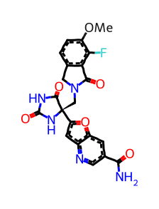 COc1ccc2c(c1F)C(=O)N(C[C@@]1(c3cc4ncc(C(N)=O)cc4o3)NC(=O)NC1=O)C2